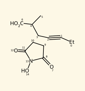 CCC#CCC(C)C(=O)O.O=C1CCC(=O)N1O